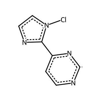 Cln1ccnc1-c1ccn[c]n1